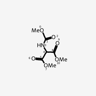 COC(=O)NC(C(=O)OC)C(=O)OC